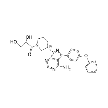 Nc1ncnc2c1c(-c1ccc(Oc3ccccc3)cc1)nn2[C@H]1CCCN(C(=O)C(O)CO)C1